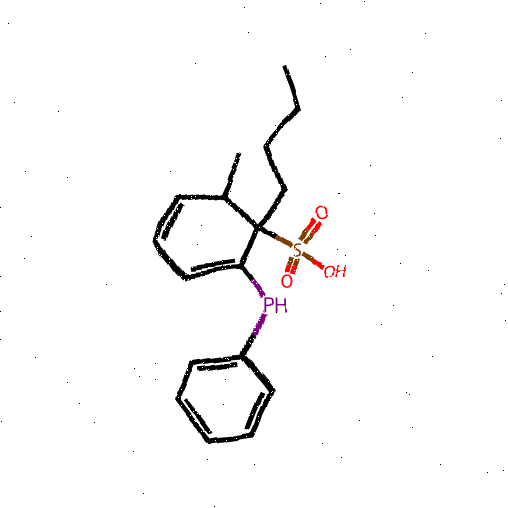 CCCCC1(S(=O)(=O)O)C(Pc2ccccc2)=CC=CC1C